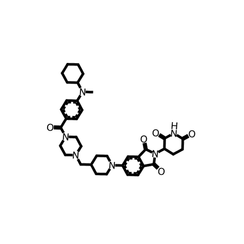 CN(c1ccc(C(=O)N2CCN(CC3CCN(c4ccc5c(c4)C(=O)N(C4CCC(=O)NC4=O)C5=O)CC3)CC2)cc1)C1CCCCC1